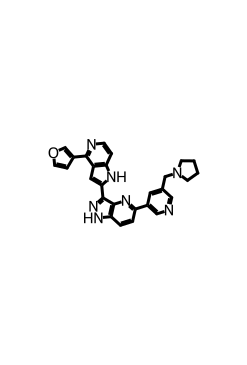 c1cc2[nH]c(-c3n[nH]c4ccc(-c5cncc(CN6CCCC6)c5)nc34)cc2c(-c2ccoc2)n1